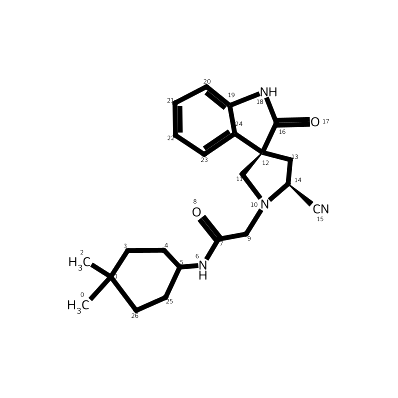 CC1(C)CCC(NC(=O)CN2C[C@]3(C[C@H]2C#N)C(=O)Nc2ccccc23)CC1